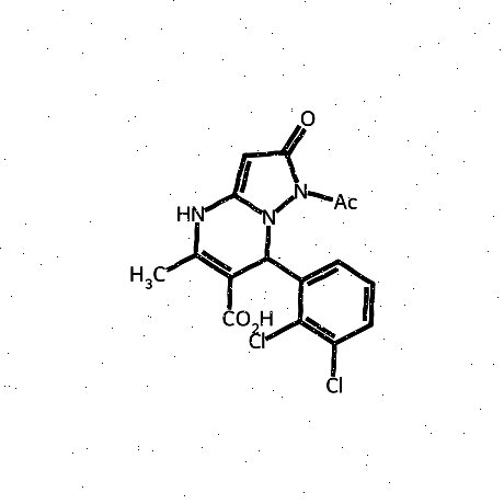 CC(=O)n1c(=O)cc2n1C(c1cccc(Cl)c1Cl)C(C(=O)O)=C(C)N2